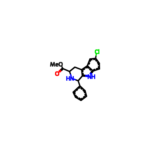 COC(=O)C1Cc2c([nH]c3ccc(Cl)cc23)C(c2ccccc2)N1